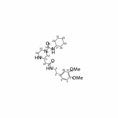 COc1ccc(CCNC(=O)CC2CN(C(=O)NC3CCCCC3)CCN2)cc1OC